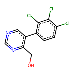 OCc1ncncc1-c1ccc(Cl)c(Cl)c1Cl